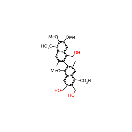 COc1cc2c(CO)c(-c3c(C)cc4c(C(=O)O)c(CO)c(CO)cc4c3OC)c(C)cc2c(C(=O)O)c1OC